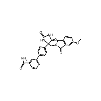 COc1ccc2c(c1)C(=O)N(CC1(c3ccc(-c4cc(C(N)=O)ccn4)cc3)NC(=O)NC1=O)C2